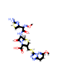 CO/N=C(\C(=O)N[C@@H]1C(=O)N2C(C(=O)O)=C(CSc3nnc4ccc(OC)nn34)CS[C@@H]12)c1csc(N)n1